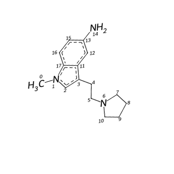 Cn1cc(CCN2CCCC2)c2cc(N)ccc21